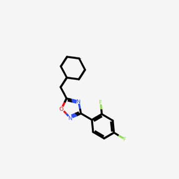 Fc1ccc(-c2noc(CC3CC[CH]CC3)n2)c(F)c1